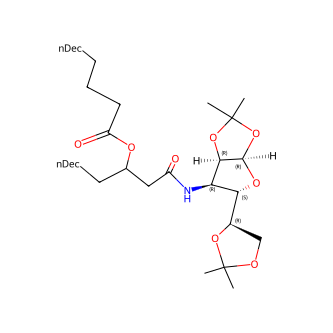 CCCCCCCCCCCCCC(=O)OC(CCCCCCCCCCC)CC(=O)N[C@H]1[C@H]2OC(C)(C)O[C@H]2O[C@@H]1[C@H]1COC(C)(C)O1